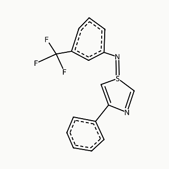 FC(F)(F)c1cccc(N=S2C=NC(c3ccccc3)=C2)c1